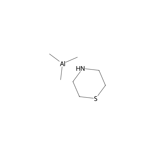 C1CSCCN1.[CH3][Al]([CH3])[CH3]